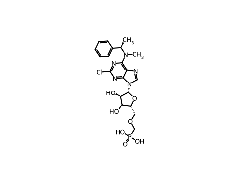 C[C@H](c1ccccc1)N(C)c1nc(Cl)nc2c1ncn2[C@@H]1O[C@H](COCP(=O)(O)O)[C@@H](O)[C@H]1O